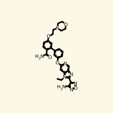 CCn1c(-c2nonc2N)nc2cnc(Oc3cccc(-c4cc(OCCN5CCOCC5)ccc4C(N)=O)c3)cc21